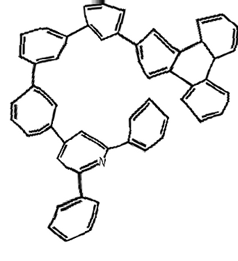 C1=CC2c3ccccc3-c3ccc(-c4cccc(-c5cccc(-c6cccc(-c7cc(-c8ccccc8)nc(-c8ccccc8)c7)c6)c5)c4)cc3C2C=C1